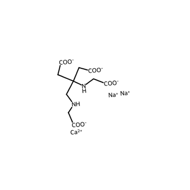 O=C([O-])CNCC(CC(=O)[O-])(CC(=O)[O-])NCC(=O)[O-].[Ca+2].[Na+].[Na+]